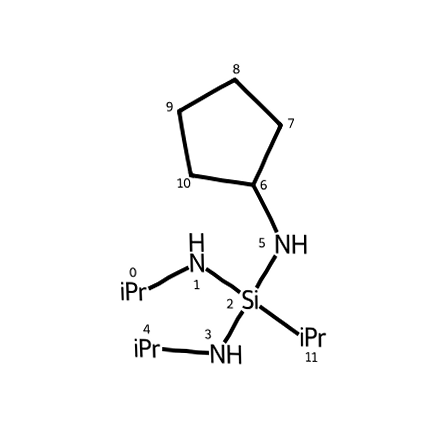 CC(C)N[Si](NC(C)C)(NC1CCCC1)C(C)C